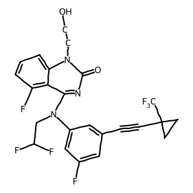 O=c1nc(N(CC(F)F)c2cc(F)cc(C#CC3(C(F)(F)F)CC3)c2)c2c(F)cccc2n1CCO